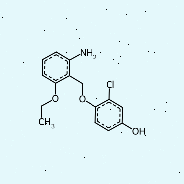 CCOc1cccc(N)c1COc1ccc(O)cc1Cl